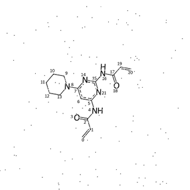 C=CC(=O)Nc1cc(N2CCCCC2)nc(NC(=O)C=C)n1